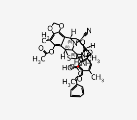 COc1c(C)cc2c(c1O)[C@@H]1C3[C@@H]4SC[C@H](NC(=O)OCc5ccccc5)C(=O)OC[C@@H](c5c6c(c(C)c(OC(C)=O)c54)OCO6)N3[C@@H](C#N)[C@H](C2)N1C